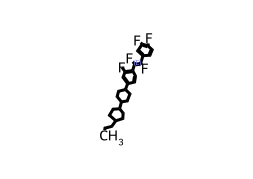 CCCC1CCC(C2CCC(c3ccc(/C(F)=C(\F)c4ccc(F)c(F)c4)c(F)c3)CC2)CC1